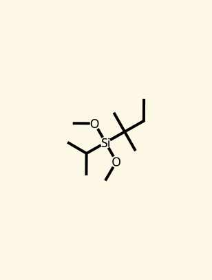 CCC(C)(C)[Si](OC)(OC)C(C)C